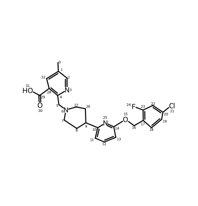 Cc1cnc(CN2CCC(c3cccc(OCc4ccc(Cl)cc4F)n3)CC2)c(C(=O)O)c1